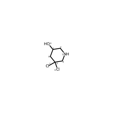 OC1CNCC(Cl)(Cl)C1